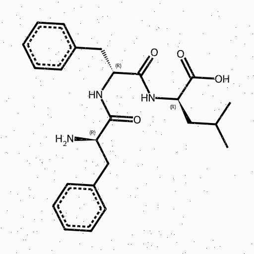 CC(C)C[C@@H](NC(=O)[C@@H](Cc1ccccc1)NC(=O)[C@H](N)Cc1ccccc1)C(=O)O